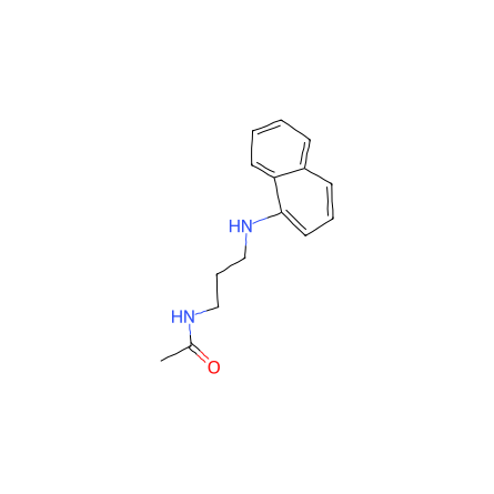 CC(=O)NCCCNc1cccc2ccccc12